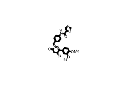 CCOc1cc(C2=NN(Cc3ccc(NC(=O)c4cnco4)cc3)C(=O)CC2CC)ccc1OC